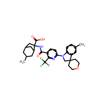 Cc1ccc2c(c1)C1(CCOCC1)CN2c1ccc(C(=O)NC2(C(=O)O)CC3CC(C)CC2C3)c(C(F)(F)F)n1